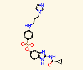 O=C(Nc1nc2cc(OS(=O)(=O)c3ccc(NCCCn4ccnc4)cc3)ccc2[nH]1)C1CC1